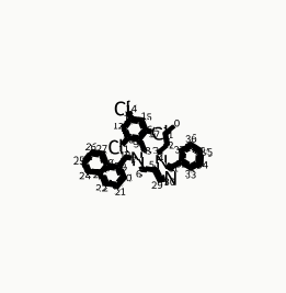 CCCCn1c(CN(Cc2c(Cl)cc(Cl)cc2Cl)Cc2cccc3ccccc23)cnc1-c1ccccc1